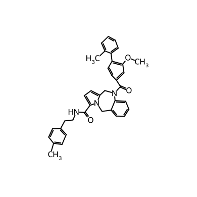 COc1cc(C(=O)N2Cc3ccc(C(=O)NCCc4ccc(C)cc4)n3Cc3ccccc32)ccc1-c1ccccc1C